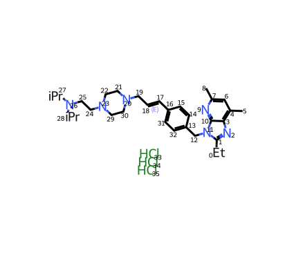 CCc1nc2c(C)cc(C)nc2n1Cc1ccc(/C=C/CN2CCN(CCN(C(C)C)C(C)C)CC2)cc1.Cl.Cl.Cl